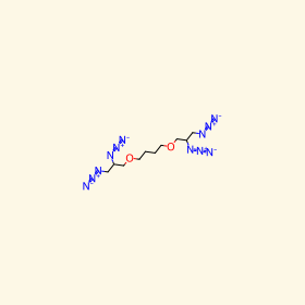 [N-]=[N+]=NCC(COCCCCOCC(CN=[N+]=[N-])N=[N+]=[N-])N=[N+]=[N-]